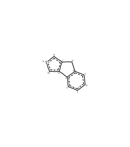 c1ccc2c(c1)Cc1cscc1-2